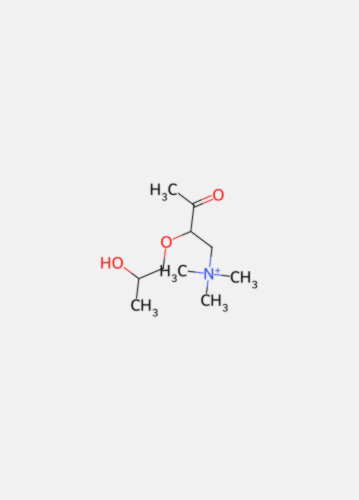 CC(=O)C(C[N+](C)(C)C)OCC(C)O